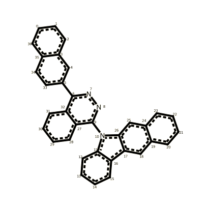 c1ccc2cc(-c3nnc(-n4c5ccccc5c5cc6ccccc6cc54)c4ccccc34)ccc2c1